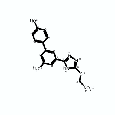 Cc1cc(-c2ccc(O)cc2)cc(-c2nnc(SCC(=O)O)[nH]2)c1